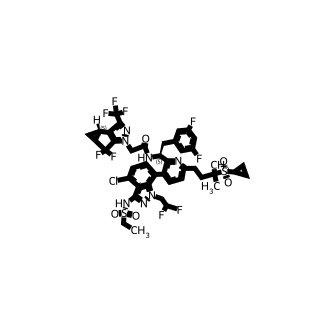 CCS(=O)(=O)Nc1nn(CC(F)F)c2c(-c3ccc(CCC(C)(C)S(=O)(=O)C4CC4)nc3[C@H](Cc3cc(F)cc(F)c3)NC(=O)Cn3nc(C(F)(F)F)c4c3C(F)(F)C3C[C@H]43)ccc(Cl)c12